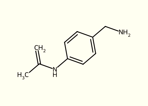 C=C(C)Nc1ccc(CN)cc1